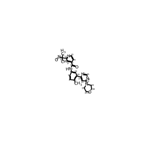 Cc1ccc(NC(=O)c2ccnc(C(C)(C)N=O)c2)cc1-c1cc(N2CCOCC2)ncn1